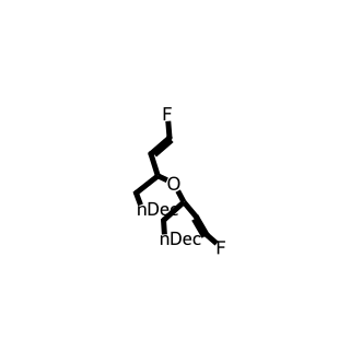 CCCCCCCCCCCC(/C=C/F)OC(/C=C/F)CCCCCCCCCCC